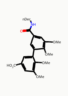 CCCCCCCCCCNC(=O)c1cc(OC)c(OC)c(-c2cc(C(=O)O)cc(OC)c2OC)c1